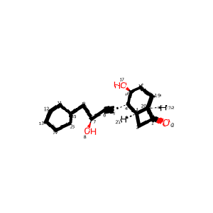 O=C1C[C@H]2[C@H](C#C[C@@H](O)CC3CCCCC3)[C@@H](O)CC[C@@H]12